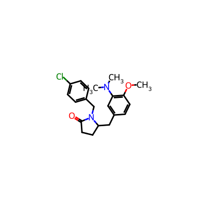 COc1ccc(CC2CCC(=O)N2Cc2ccc(Cl)cc2)cc1N(C)C